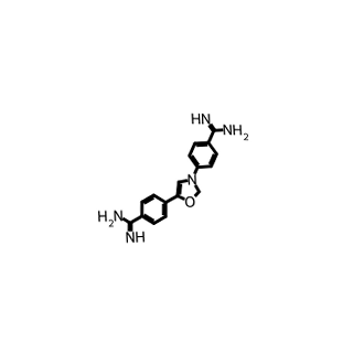 N=C(N)c1ccc(C2=CN(c3ccc(C(=N)N)cc3)CO2)cc1